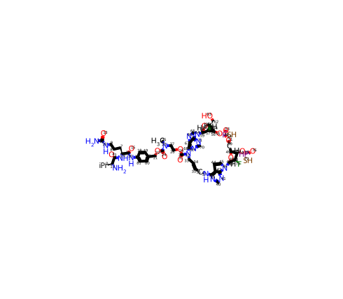 CC(C)[C@H](N)C(=O)N[C@@H](CCCNC(N)=O)C(=O)Nc1ccc(COC(=O)N(C)CCOC(=O)N2C/C=C/CNc3ncnc4c3ccn4[C@@H]3O[C@H](CO[P@@](=O)(S)O[C@H]4[C@@H](F)[C@@H](O[C@@H]4CO)n4cnc5c2ncnc54)[C@@H](O[PH](=O)S)[C@H]3F)cc1